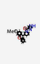 COc1ccc(CC2CCCN(C(=O)c3c[nH]cn3)C2)c(OC2CC3CCC2C3)c1